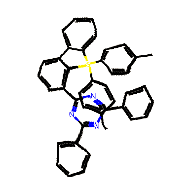 Cc1ccc(S2(c3ccc(C)cc3)c3ccccc3-c3cccc(-c4nc(-c5ccccc5)nc(-c5ccccc5)n4)c32)cc1